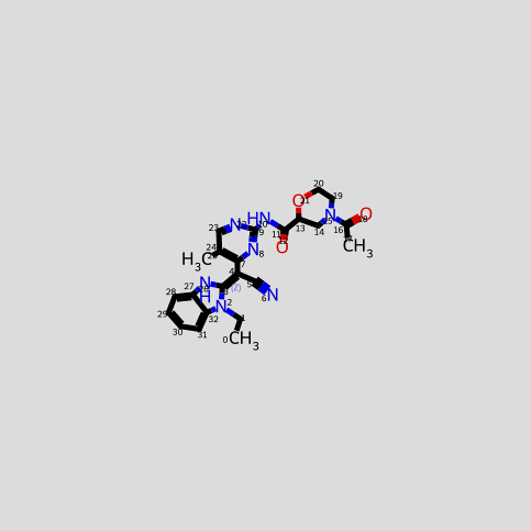 CCN1/C(=C(\C#N)c2nc(NC(=O)C3CN(C(C)=O)CCO3)ncc2C)Nc2ccccc21